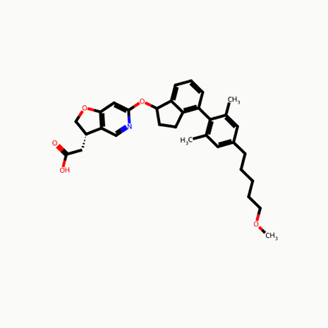 COCCCCCc1cc(C)c(-c2cccc3c2CCC3Oc2cc3c(cn2)[C@H](CC(=O)O)CO3)c(C)c1